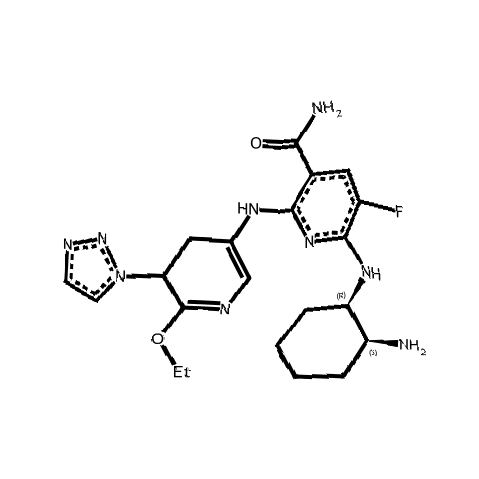 CCOC1=NC=C(Nc2nc(N[C@@H]3CCCC[C@@H]3N)c(F)cc2C(N)=O)CC1n1ccnn1